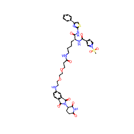 CS(=O)(=O)n1ccc(C(=O)N[C@@H](CCCCNC(=O)CCOCCOCCNc2ccc3c(c2)C(=O)N(C2CCC(=O)NC2=O)C3=O)C(=O)Nc2nc(-c3ccccc3)cs2)c1